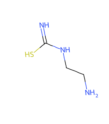 N=C(S)NCCN